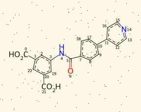 O=C(O)c1cc(NC(=O)c2ccc(-c3ccncc3)cc2)cc(C(=O)O)c1